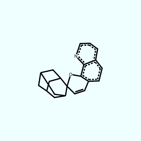 C1=CC2(Oc3c1ccc1cccnc31)C1CC3CC(C1)CC2C3